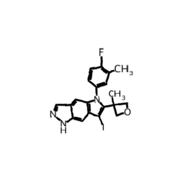 Cc1cc(-n2c(C3(C)COC3)c(I)c3cc4[nH]ncc4cc32)ccc1F